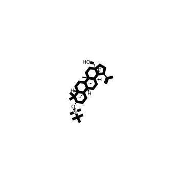 C=C(C)[C@@H]1CC[C@]2(CO)CC[C@]3(C)[C@H](CC[C@@H]4[C@@]5(C)CC[C@H](O[Si](C)(C)C(C)(C)C)C(C)(C)[C@@H]5CC[C@]43C)[C@@H]12